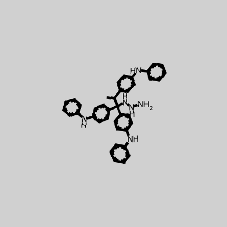 CC(c1ccc(Nc2ccccc2)cc1)C(NNN)(c1ccc(Nc2ccccc2)cc1)c1ccc(Nc2ccccc2)cc1